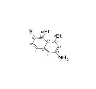 CCc1cc(N)cc2ccc(F)c(CC)c12